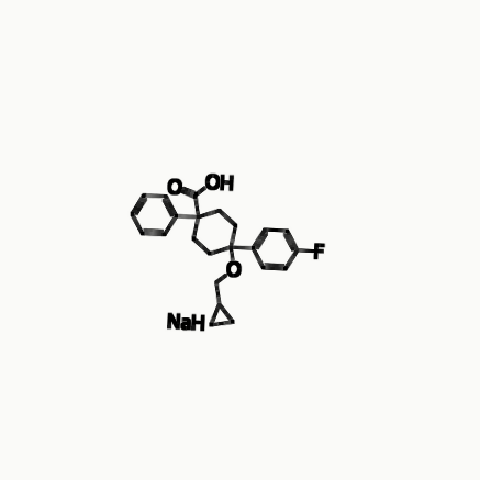 O=C(O)C1(c2ccccc2)CCC(OCC2CC2)(c2ccc(F)cc2)CC1.[NaH]